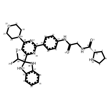 O=C(CNC(=O)[C@@H]1CCCN1)Nc1ccc(-c2nc(N3CCOCC3)cc(C3(C(F)F)Nc4ccccc4N3)n2)cc1